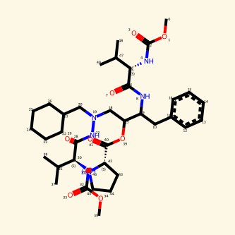 COC(=O)N[C@H](C(=O)NC(Cc1ccccc1)C(CN(CC1CCCCC1)NC(=O)[C@@H](NC(=O)OC)C(C)C)OC(=O)[C@@H]1CCCN1)C(C)C